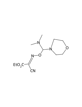 CCOC(=O)C(C#N)=NOC(N(C)C)N1CCOCC1